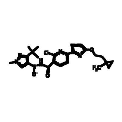 Cn1cc([S+]([O-])NC(=O)c2ccc(-n3ccc(OCCC4(C(F)(F)F)CC4)n3)nc2Cl)c(S(C)(C)C)n1